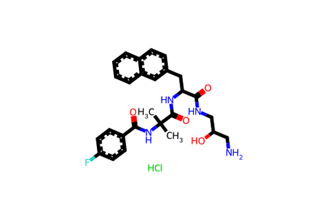 CC(C)(NC(=O)c1ccc(F)cc1)C(=O)NC(Cc1ccc2ccccc2c1)C(=O)NCC(O)CN.Cl